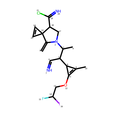 C=C1N(C(C)C(C=N)C2C(C)=C2OCC(F)I)CC(C(=N)Cl)C12C=C2